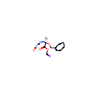 CC(C)[C@](N=C=O)(OCc1ccccc1)C(=O)OCI